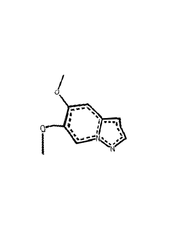 COc1cc2ccnn2cc1OC